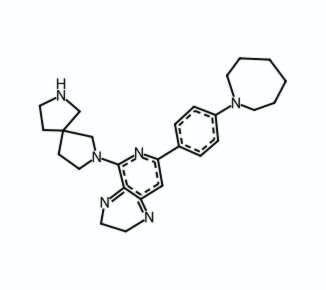 c1cc(N2CCCCCC2)ccc1-c1cc2c(c(N3CCC4(CCNC4)C3)n1)=NCCN=2